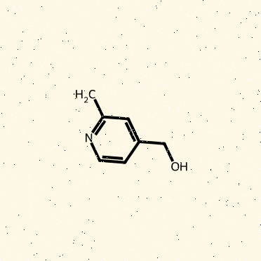 [CH2]c1cc(CO)ccn1